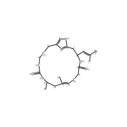 C/C(Br)=C\C1Cc2nc(cs2)CCCCC(=O)OC(C)C/C(C)=C/CCC(=O)O1